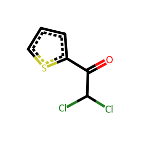 O=C(c1cccs1)C(Cl)Cl